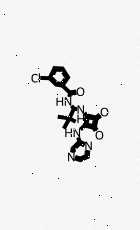 CC(C)(C)C(NC(=O)c1cccc(Cl)c1)Nc1c(Nc2cnccn2)c(=O)c1=O